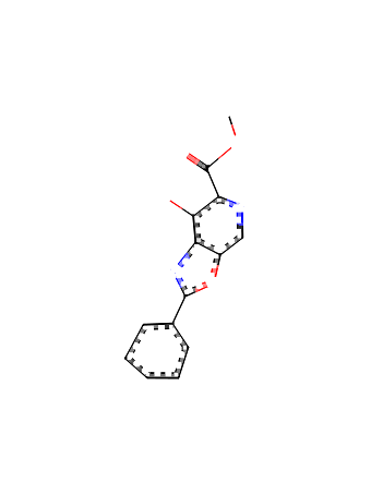 COC(=O)c1ncc2oc(-c3ccccc3)nc2c1O